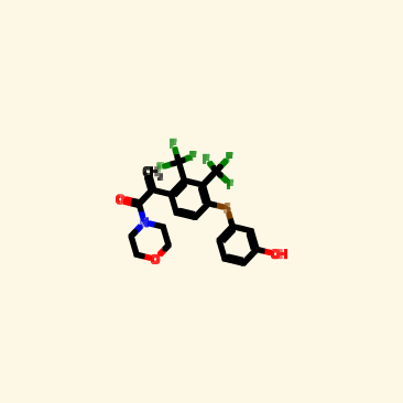 C=C(C(=O)N1CCOCC1)c1ccc(Sc2cccc(O)c2)c(C(F)(F)F)c1C(F)(F)F